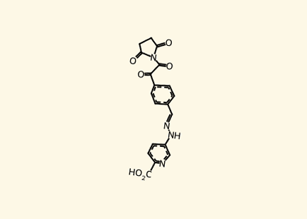 O=C(C(=O)N1C(=O)CCC1=O)c1ccc(C=NNc2ccc(C(=O)O)nc2)cc1